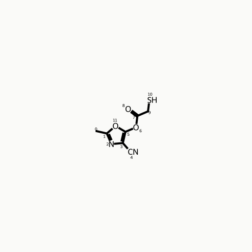 Cc1nc(C#N)c(OC(=O)CS)o1